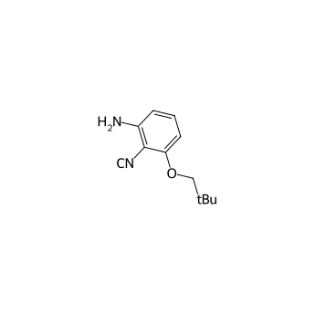 [C-]#[N+]c1c(N)cccc1OCC(C)(C)C